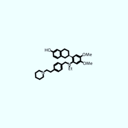 CCN(Cc1ccc(CCN2CCCCC2)cc1)c1cc(OC)c(OC)cc1[C@@H]1CCc2cc(O)ccc2C1